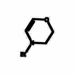 CCN1C=COCC1